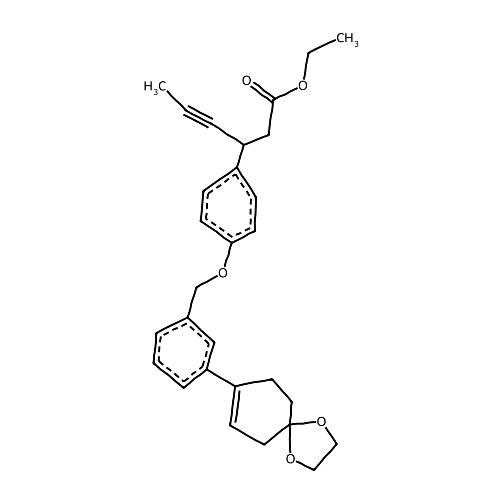 CC#CC(CC(=O)OCC)c1ccc(OCc2cccc(C3=CCC4(CC3)OCCO4)c2)cc1